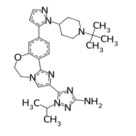 CC(C)n1nc(N)nc1-c1cn2c(n1)-c1ccc(-c3ccnn3C3CCN(C(C)(C)C)CC3)cc1OCC2